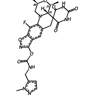 C[C@@H]1CN2c3c(cc4c(OC(=O)NCc5ccnn5C)noc4c3F)CC3(C(=O)NC(=O)NC3=O)[C@H]2[C@H](C)O1